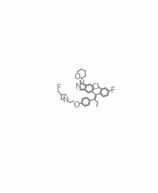 CCC(=C(c1ccc2c(cnn2C2CCCCO2)c1)c1ccc(F)cc1Cl)c1ccc(OCCN2CC(CF)C2)cc1